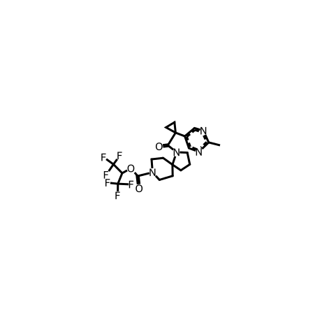 Cc1ncc(C2(C(=O)N3CCCC34CCN(C(=O)OC(C(F)(F)F)C(F)(F)F)CC4)CC2)cn1